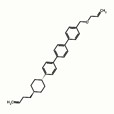 C=CCC[C@H]1CC[C@H](c2ccc(-c3ccc(-c4ccc(COCC=C)cc4)cc3)cc2)CC1